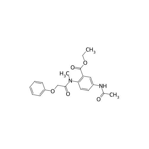 CCOC(=O)c1cc(NC(C)=O)ccc1N(C)C(=O)COc1ccccc1